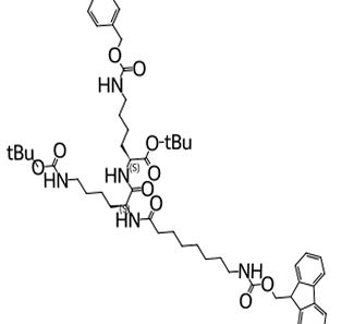 CC(C)(C)OC(=O)NCCCC[C@H](NC(=O)CCCCCCCNC(=O)OCC1c2ccccc2-c2ccccc21)C(=O)N[C@@H](CCCCNC(=O)OCc1ccccc1)C(=O)OC(C)(C)C